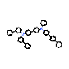 c1ccc(-c2ccc(-c3ccc(N(c4ccccc4)c4ccc(-c5ccc(N(c6cccc(-c7ccccc7)c6)c6cccc(-c7ccccc7)c6)cc5)cc4)cc3)cc2)cc1